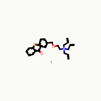 C=CC[N+](CC=C)(CC=C)CCOCc1ccc2sc3ccccc3c(=O)c2c1.[I-]